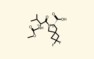 COC(=O)N[C@H](C(=O)N1CC2(C[C@H]1C(=O)O)CC(F)(F)C2)C(C)C